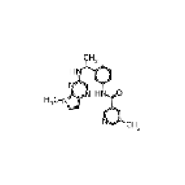 Cc1cncc(C(=O)Nc2cccc(C(C)Nc3cnc4ccn(C)c4n3)c2)c1